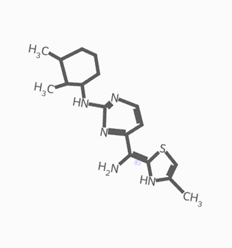 CC1=CS/C(=C(/N)c2ccnc(NC3CCCC(C)C3C)n2)N1